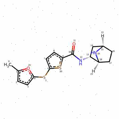 Cc1ccc(Sc2ccc(C(=O)N[C@@H]3C[C@H]4CC[C@@H]3N4)s2)o1